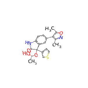 Cc1noc(C)c1-c1ccc2c(c1)C(OC(C)O)(c1ccsc1)C(=O)N2